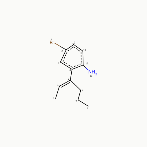 C/C=C(\CCC)c1cc(Br)ccc1N